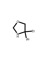 CCC1(C(C)C)COCN1